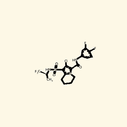 C[C@H](NS(=O)(=O)c1c(Cl)c(C(=O)Nc2ccc(F)c(F)c2)n2c1CCCC2)C(F)(F)F